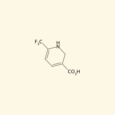 O=C(O)C1=CC=C(C(F)(F)F)NC1